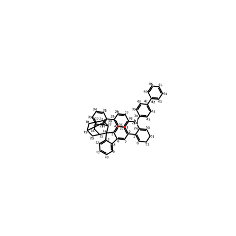 C1=C(c2ccc3c(c2)-c2ccccc2C32C3CC4CC(C3)CC2C4)C(N(c2ccc(-c3ccccc3)cc2)c2ccc(-c3ccccc3)cc2)=CCC1